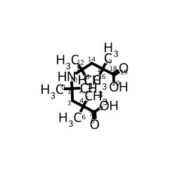 CC(C)(CC(C)(C)C(=O)O)NC(C)(C)CC(C)(C)C(=O)O